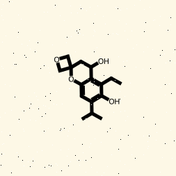 CCc1c(O)c(C(C)C)cc2c1C(O)CC1(COC1)O2